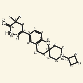 CC1(C)CC(c2ccc3c(c2)CCC2(CCN(C4CCC4)CC2)O3)=NNC1=O